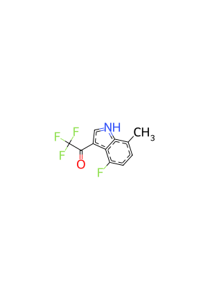 Cc1ccc(F)c2c(C(=O)C(F)(F)F)c[nH]c12